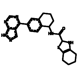 O=C(NC1CCCc2cc(-c3ncnc4[nH]ncc34)ccc21)C1NC2=C(CCCC2)S1